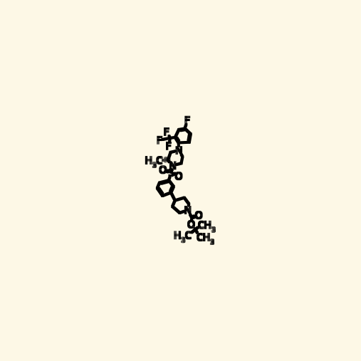 C[C@@H]1CN(c2ccc(F)cc2C(F)(F)F)CCN1S(=O)(=O)c1cccc(C2CCN(C(=O)OC(C)(C)C)CC2)c1